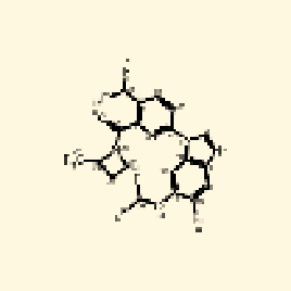 O=C(c1nc(-n2cnc3cc(Br)c(OC(F)F)cc32)ccc1C(F)F)N1CCC1C(F)(F)F